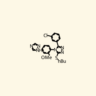 CCCCSc1nnc(-c2cccc(Cl)c2)n1-c1ccccc1OC.c1nc[nH]n1